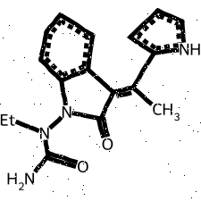 CCN(C(N)=O)N1C(=O)/C(=C(\C)c2ccc[nH]2)c2ccccc21